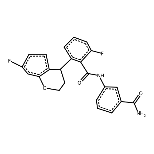 NC(=O)c1cccc(NC(=O)c2c(F)cccc2C2CCOc3cc(F)ccc32)c1